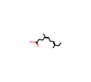 CCC(C)=CCC=C(C)CCC(=O)O